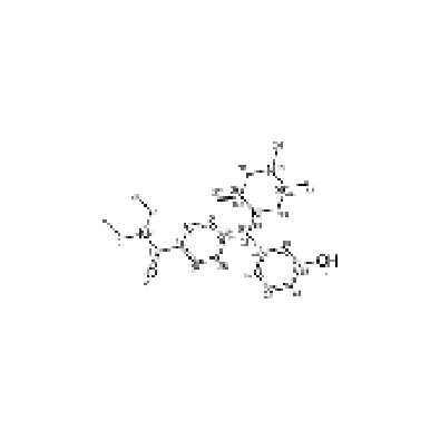 CCN(CC)C(=O)c1ccc([C@@H](c2cccc(O)c2)N2C[C@H](C)N(C)C[C@@H]2C)cc1